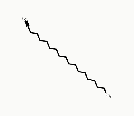 C#CCCCCCCCCCCCCCCCC[CH2]